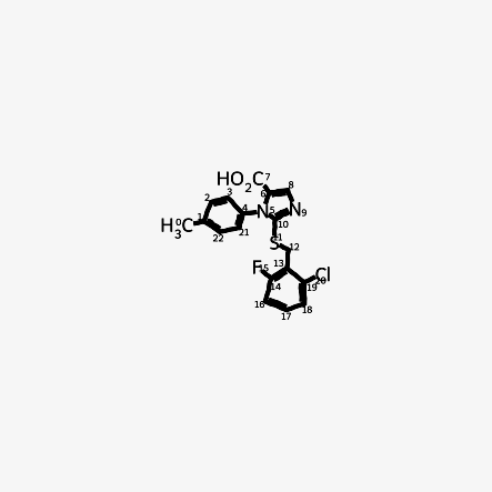 Cc1ccc(-n2c(C(=O)O)cnc2SCc2c(F)cccc2Cl)cc1